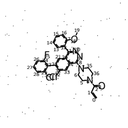 C=CC(=O)N1CCN(c2nnc(-c3ccccc3OC)c3cc(-c4c(F)cccc4Cl)c(Cl)cc23)CC1